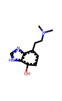 CN(C)CCc1ccc(O)c2[nH]cnc12